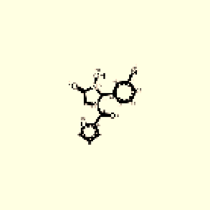 O=C1CN(C(=O)c2ccco2)C(c2cccc(Br)c2)N1O